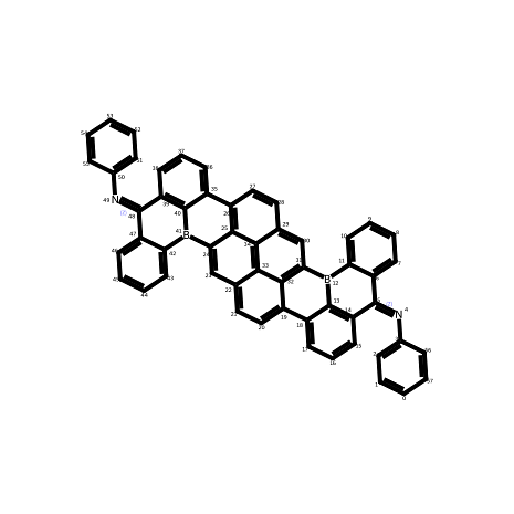 c1ccc(/N=C2/c3ccccc3B3c4c2cccc4-c2ccc4cc5c6c(ccc7cc3c2c4c76)-c2cccc3c2B5c2ccccc2/C3=N/c2ccccc2)cc1